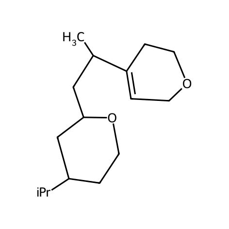 CC(CC1CC(C(C)C)CCO1)C1=CCOCC1